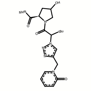 CNC(=O)[C@H]1CC(O)CN1C(=O)C(n1cc(Cn2ccccc2=O)nn1)C(C)(C)C